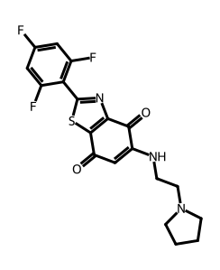 O=C1C(NCCN2CCCC2)=CC(=O)c2sc(-c3c(F)cc(F)cc3F)nc21